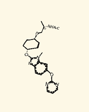 CC(=O)N[C@@H](C)CO[C@H]1CC[C@H](Oc2nc3ccc(Oc4ncccn4)cc3n2C)CC1